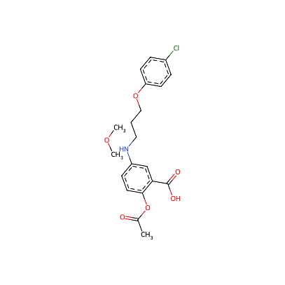 CC(=O)Oc1ccc(NCCCOc2ccc(Cl)cc2)cc1C(=O)O.COC